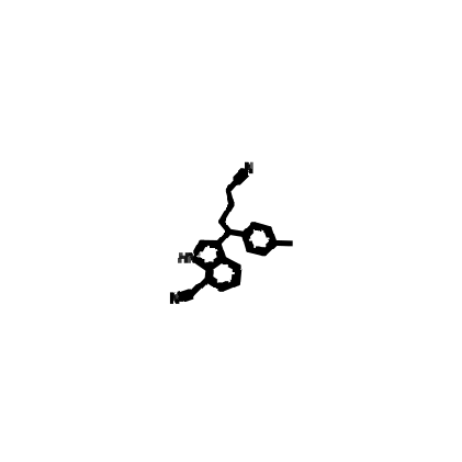 Cc1ccc(C(CCCC#N)c2c[nH]c3c(C#N)cccc23)cc1